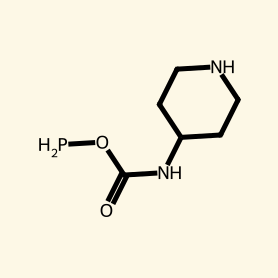 O=C(NC1CCNCC1)OP